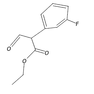 CCOC(=O)C(C=O)c1cccc(F)c1